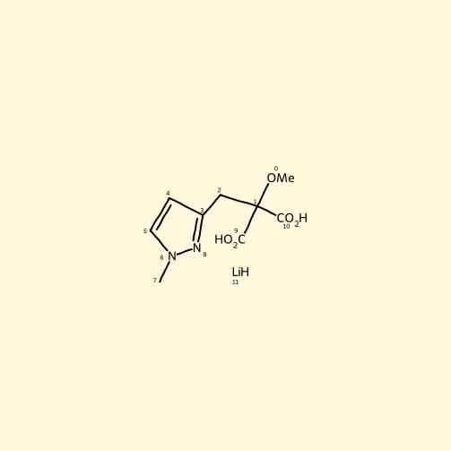 COC(Cc1ccn(C)n1)(C(=O)O)C(=O)O.[LiH]